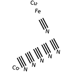 C#N.C#N.C#N.C#N.C#N.C#N.[Co].[Cu].[Fe]